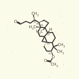 CC(=O)O[C@H]1CC[C@]23CC24CC[C@]2(C)[C@@H]([C@H](C)CCC=O)CCC2(C)[C@@H]4CCC3C1(C)C